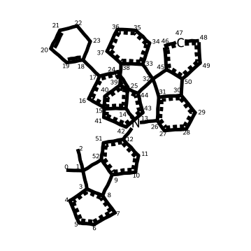 CC1(C)c2ccccc2-c2ccc(N(c3ccc(C4=CC=CCC4)cc3)c3cccc4c3C3(c5ccccc5-c5ccccc53)c3ccccc3-4)cc21